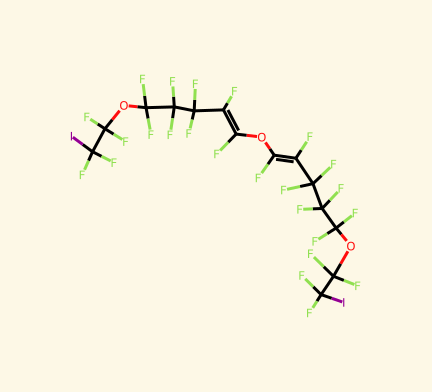 FC(OC(F)=C(F)C(F)(F)C(F)(F)C(F)(F)OC(F)(F)C(F)(F)I)=C(F)C(F)(F)C(F)(F)C(F)(F)OC(F)(F)C(F)(F)I